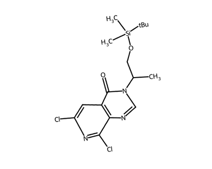 CC(CO[Si](C)(C)C(C)(C)C)n1cnc2c(Cl)nc(Cl)cc2c1=O